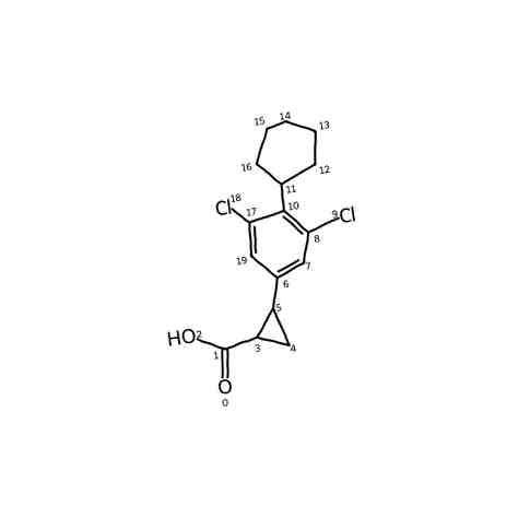 O=C(O)C1CC1c1cc(Cl)c(C2CCCCC2)c(Cl)c1